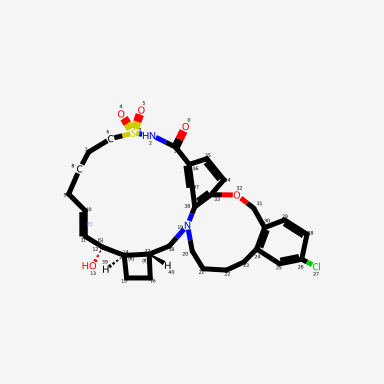 O=C1NS(=O)(=O)CCCC/C=C/[C@@H](O)[C@@H]2CC[C@H]2CN2CCCCc3cc(Cl)ccc3COc3ccc1cc32